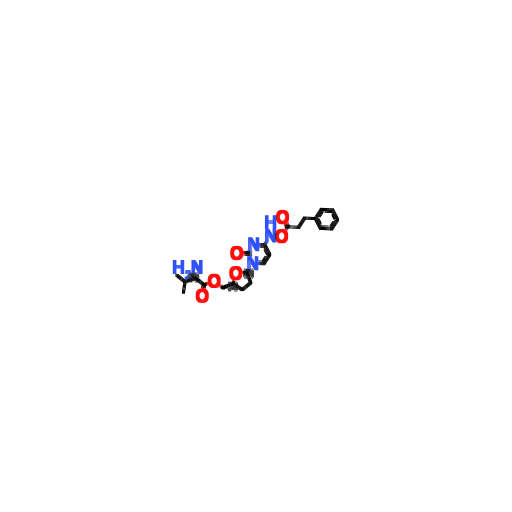 CC(C)[C@H](N)C(=O)OC[C@@H]1CC[C@H](n2ccc(NOC(=O)CCc3ccccc3)nc2=O)O1